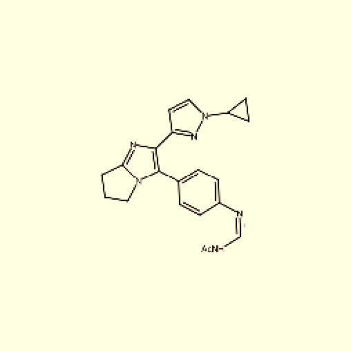 CC(=O)N/C=N\c1ccc(-c2c(-c3ccn(C4CC4)n3)nc3n2CCC3)cc1